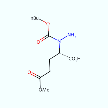 CCCCOC(=O)N(N)[C@@H](CCC(=O)OC)C(=O)O